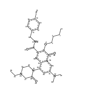 CCCCOc1c(C(=O)NCc2ccc(F)cc2)nc2c(N3CCN(CC)CC3=O)cc(N(C)C)cn2c1=O